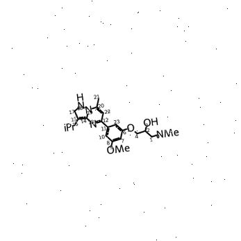 CNCC(O)COc1cc(OC)cc(C2=NC3=C(C(C)C)CNN3C(C)=C2)c1